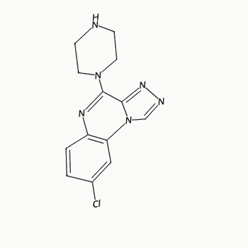 Clc1ccc2nc(N3CCNCC3)c3nncn3c2c1